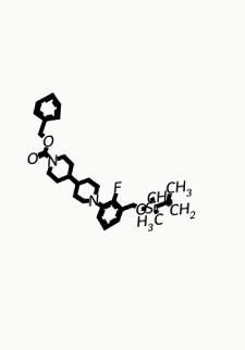 C=C(C)[Si](C)(C)OCc1cccc(N2CCC(C3CCN(C(=O)OCc4ccccc4)CC3)CC2)c1F